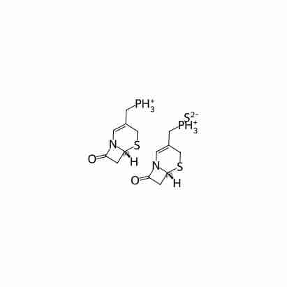 O=C1C[C@H]2SCC(C[PH3+])=CN12.O=C1C[C@H]2SCC(C[PH3+])=CN12.[S-2]